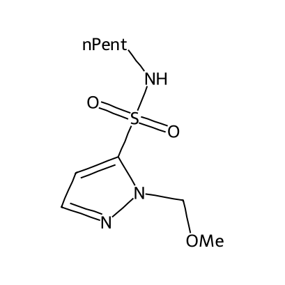 CCCCCNS(=O)(=O)c1ccnn1COC